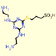 NCCNc1nc(NCCN)nc(SCCCS(=O)(=O)O)n1